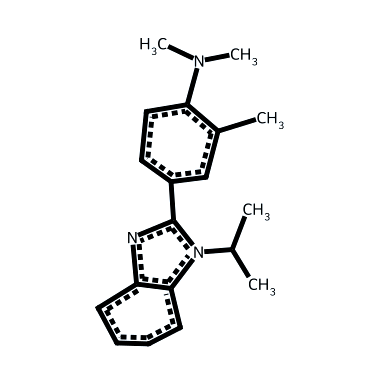 Cc1cc(-c2nc3ccccc3n2C(C)C)ccc1N(C)C